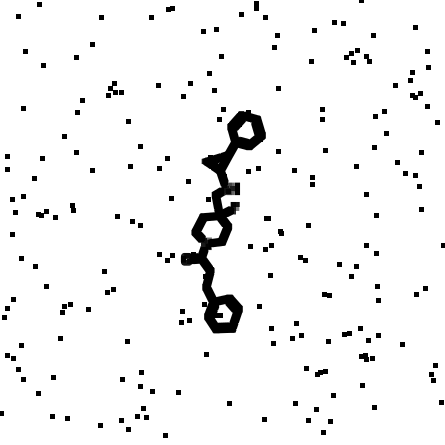 O=C(CCc1ccccc1)N1CCC(F)(CNC2CC2c2ccccc2)CC1